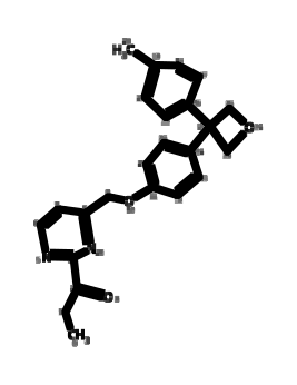 CCC(=O)c1nccc(COc2ccc(C3(c4ccc(C)cc4)COC3)cc2)n1